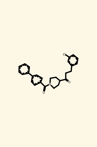 O=C(CCc1cccc(Cl)c1)C1CCN(C(=O)c2ccc(-c3ccccc3)cc2)CC1